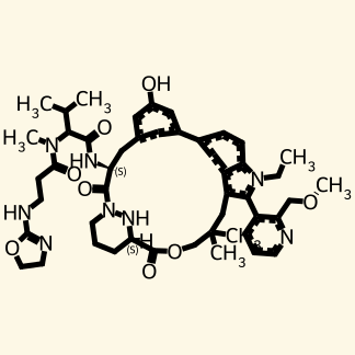 CCn1c(-c2cccnc2COC)c2c3cc(ccc31)-c1cc(O)cc(c1)C[C@H](NC(=O)C(C(C)C)N(C)C(=O)CCNC1=NCCO1)C(=O)N1CCC[C@H](N1)C(=O)OCC(C)(C)C2